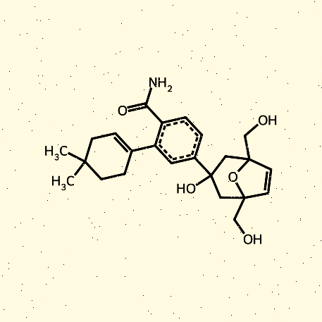 CC1(C)CC=C(c2cc(C3(O)CC4(CO)C=CC(CO)(C3)O4)ccc2C(N)=O)CC1